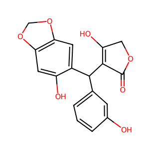 O=C1OCC(O)=C1C(c1cccc(O)c1)c1cc2c(cc1O)OCO2